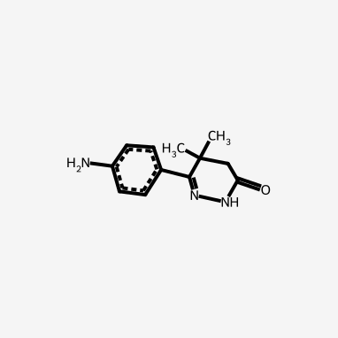 CC1(C)CC(=O)NN=C1c1ccc(N)cc1